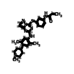 C=CC(=O)Nc1cccc(Sc2nc(Nc3cc(C)c(C4CCN(C)CC4)cc3C)nc3ccnn23)c1